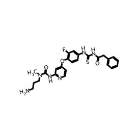 CN(CCCN)C(=O)Nc1cc(Oc2ccc(NC(=S)NC(=O)Cc3ccccc3)cc2F)ccn1